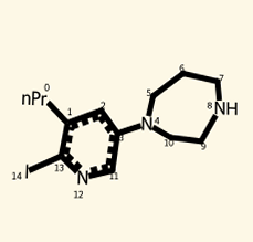 CCCc1cc(N2CCCNCC2)cnc1I